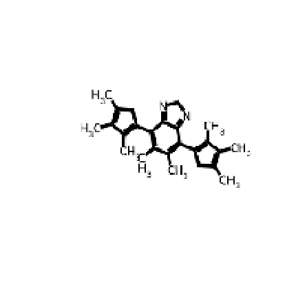 CC1=C(C)C(C)=C(c2c(C)c(C)c(C3=C(C)C(C)=C(C)C3)c3c2=NCN=3)C1